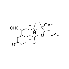 CC(=O)OCC(=O)[C@@]1(OC(C)=O)CC[C@H]2[C@@H]3C=C(C=O)C4=CC(=O)CC[C@]4(C)[C@H]3C(=O)C[C@@]21C